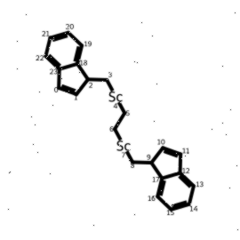 C1=CC([CH2][Sc][CH2][CH2][Sc][CH2]C2C=Cc3ccccc32)c2ccccc21